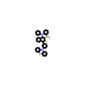 Cc1ccccc1N(c1ccccc1)c1ccc2sc3cc(N(c4ccccc4)c4ccccc4C)c4ccccc4c3c2c1